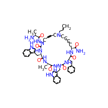 C=CCN1CC#CCN(NC(=O)[C@H](C)N)C(=O)N[C@H](Cc2c[nH]c3ccccc23)C(=O)N[C@@H](C)C(=O)NN(Cc2c[nH]c3ccccc23)C(=O)N[C@H](Cc2ccccc2)C(=O)N[C@H](C(N)=O)CCCC1